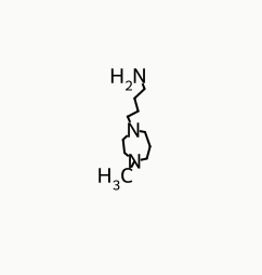 CN1CCCN(CCCCN)CC1